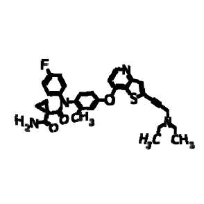 CCN(CC)CC#Cc1cc2nccc(Oc3ccc(N(C(=O)C4(C(N)=O)CC4)c4ccc(F)cc4)c(C)c3)c2s1